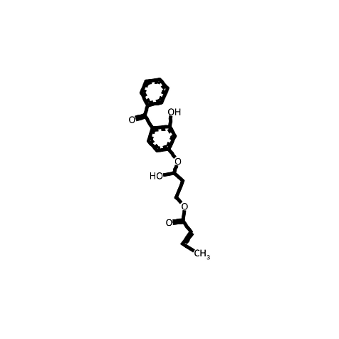 CC=CC(=O)OCCC(O)Oc1ccc(C(=O)c2ccccc2)c(O)c1